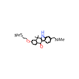 CNCc1ccc2c3c([nH]c2c1)C(C)(C)c1cc(OCCSC)ccc1C3=O